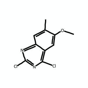 COc1cc2c(Cl)nc(Cl)nc2cc1C